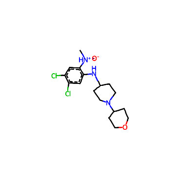 C[NH+]([O-])c1cc(Cl)c(Cl)cc1NC1CCN(C2CCOCC2)CC1